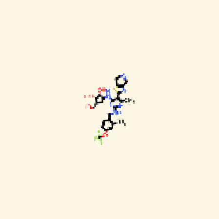 Cc1cc(OC(F)(F)F)ccc1CNc1nc(C)c(-c2nc3cnccc3s2)c(N[C@@H]2C[C@H](CO)[C@@H](O)[C@H]2O)n1